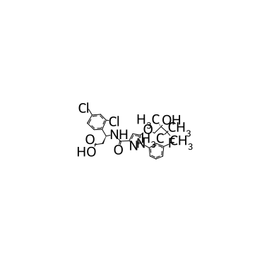 CC(C)(C)[C@](C)(O)COc1cc(C(=O)N[C@@H](CC(=O)O)c2ccc(Cl)cc2Cl)nn1-c1cccc(F)c1